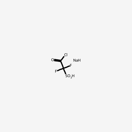 O=C(Cl)C(F)(F)S(=O)(=O)O.[NaH]